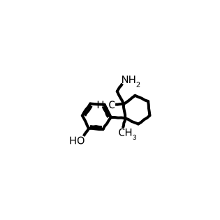 CC1(CN)CCCCC1(C)c1cccc(O)c1